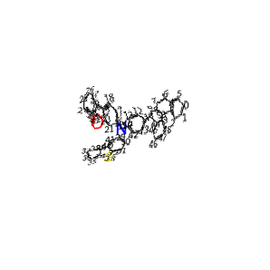 c1ccc2c(c1)ccc1cc(-c3ccc(N(c4ccc5c(c4)oc4ccccc45)c4ccc5sc6ccccc6c5c4)cc3)c3ccccc3c12